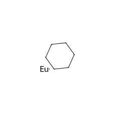 C1CCCCC1.[Eu]